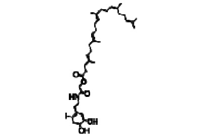 CC(C)=CCC/C(C)=C\CC/C(C)=C/CC/C=C(\C)CC/C=C(\C)CCC(=O)OCC(=O)NCCc1cc(O)c(O)cc1I